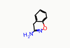 NC1=NOc2ccccc2C1